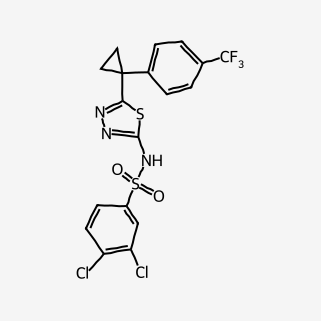 O=S(=O)(Nc1nnc(C2(c3ccc(C(F)(F)F)cc3)CC2)s1)c1ccc(Cl)c(Cl)c1